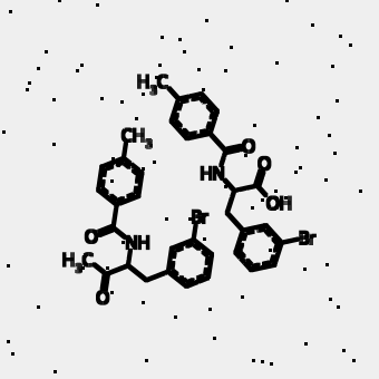 CC(=O)C(Cc1cccc(Br)c1)NC(=O)c1ccc(C)cc1.Cc1ccc(C(=O)NC(Cc2cccc(Br)c2)C(=O)O)cc1